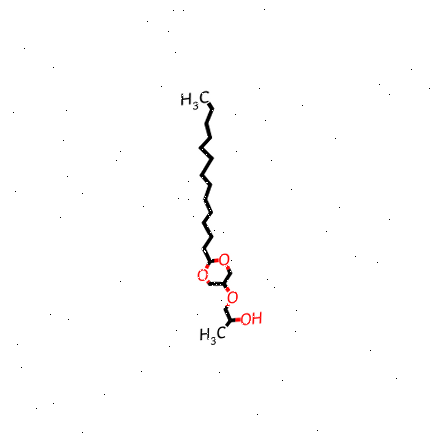 CCCCCCCCCCCCCC1OCC(OCC(C)O)CO1